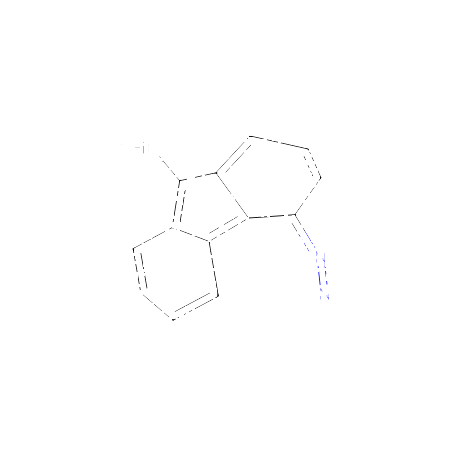 [N-]=[N+]=C1C=CC=C2C(C=O)=c3ccccc3=C21